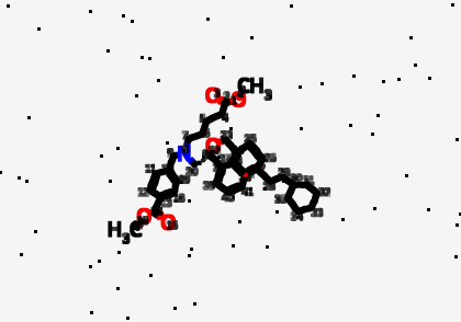 COC(=O)CCCCN(Cc1ccc(C(=O)OC)cc1)C[C@H](OCc1ccc(CCC2CCCCC2)cc1)c1ccccc1